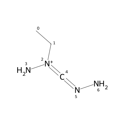 CC[N+](N)=C=NN